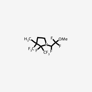 COC(F)(F)C(F)N1CCC(C)(C(F)(F)F)C1(F)C(F)(F)F